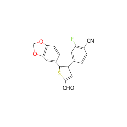 N#Cc1ccc(-c2cc(C=O)sc2-c2ccc3c(c2)OCO3)cc1F